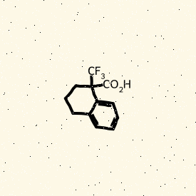 O=C(O)C1(C(F)(F)F)CCCc2ccccc21